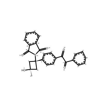 C[C@]1(O)C[C@](c2ccc(C(=O)C(=O)c3ccccc3)cc2)(N2C(=O)c3ccccc3C2=O)C1